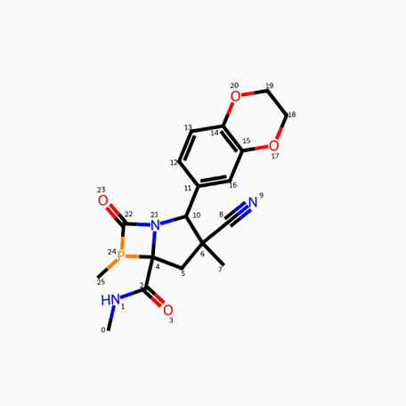 CNC(=O)C12CC(C)(C#N)C(c3ccc4c(c3)OCCO4)N1C(=O)P2C